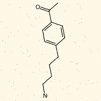 CC(=O)c1ccc(CCCC[N])cc1